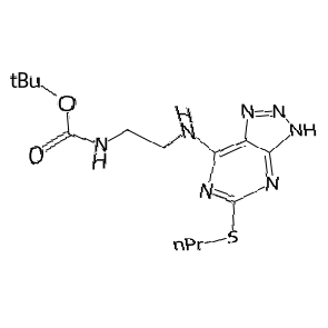 CCCSc1nc(NCCNC(=O)OC(C)(C)C)c2nn[nH]c2n1